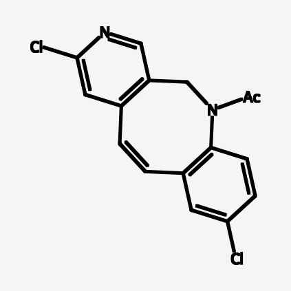 CC(=O)N1Cc2cnc(Cl)cc2C=Cc2cc(Cl)ccc21